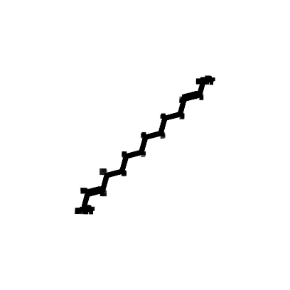 [CH2]CCC=CCCCCCCCCC=CCCC